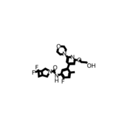 Cc1cc(F)c(NC(=O)N2CC3CC(F)(F)C3C2)cc1-c1cc(OCCO)nc(N2CCOCC2)c1